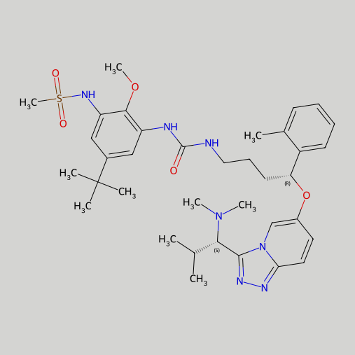 COc1c(NC(=O)NCCC[C@@H](Oc2ccc3nnc([C@H](C(C)C)N(C)C)n3c2)c2ccccc2C)cc(C(C)(C)C)cc1NS(C)(=O)=O